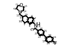 O=C(Nc1ccc2c(c1)CCC(CN1CCOCC1)C2)c1ccc(-c2ccc(F)cc2)cc1